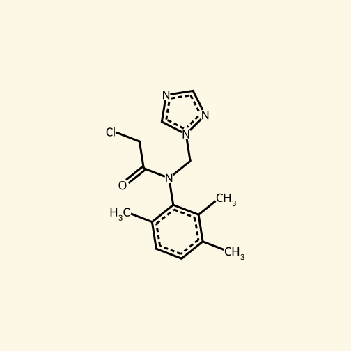 Cc1ccc(C)c(N(Cn2cncn2)C(=O)CCl)c1C